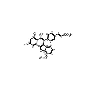 CCC(=C(c1ccc(C=CC(=O)O)cc1)c1coc2c(OC)cccc12)c1ccc(F)cc1Cl